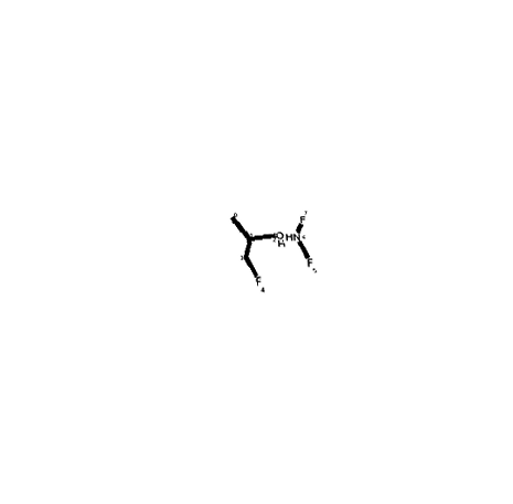 CC(O)CF.FNF